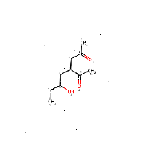 CCC(O)CC(CC(C)=O)C(C)=O